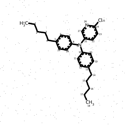 CCCCCc1ccc(N(c2ccc(CCCCC)cc2)c2ccc(Cl)nc2)cc1